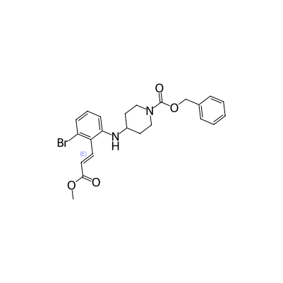 COC(=O)/C=C/c1c(Br)cccc1NC1CCN(C(=O)OCc2ccccc2)CC1